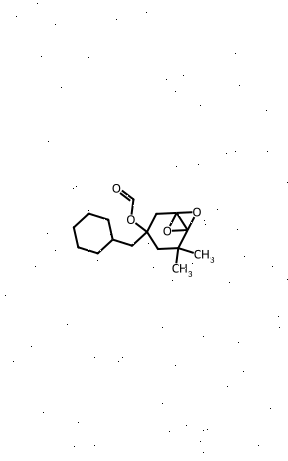 CC1(C)CC(CC2CCCCC2)(OC=O)CC23OC12O3